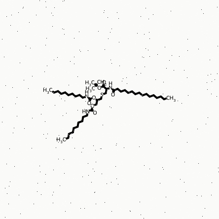 CCCCCCCCCCCCCCCC(=O)NC(CSCC(COC(=O)NCCCCCCCCCC)OC(=O)NCCCCCCCCCC)C(=O)OC(C)(C)C